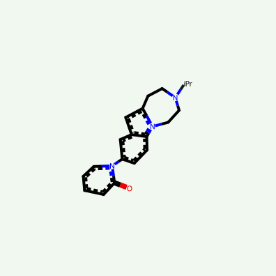 CC(C)N1CCc2cc3cc(-n4ccccc4=O)ccc3n2CC1